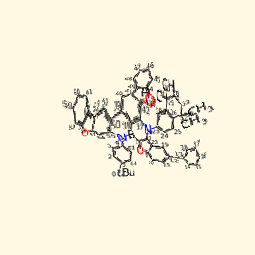 CC(C)(C)c1ccc(N2B3c4oc5ccc(-c6ccccc6)cc5c4N(c4ccc5c(c4)C(C)(C)CCC5(C)C)c4c3c(cc3c4oc4ccccc43)-c3cc4c(cc32)oc2ccccc24)cc1